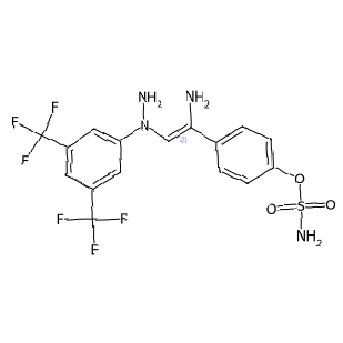 N/C(=C\N(N)c1cc(C(F)(F)F)cc(C(F)(F)F)c1)c1ccc(OS(N)(=O)=O)cc1